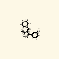 O=C1ON=C(c2cccc(F)c2)/C1=C/N1CCOCC1